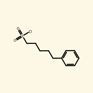 O=S(=O)(Cl)CCCCCc1ccccc1